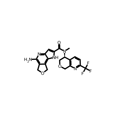 CN(C(=O)c1cc2nc(N)c3c(c2[nH]1)COC3)[C@@H]1COCc2nc(C(F)(F)F)ccc21